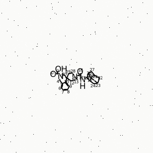 O=C(O)N1Cc2ccccc2C2(CCN(C(=O)NC3C4CC5CC(C4)CC3C5)CC2)C1